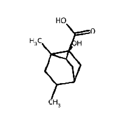 CC1CC2(C)C(O)CC1CC2C(=O)O